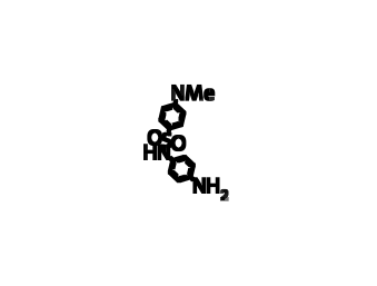 CNc1ccc(S(=O)(=O)Nc2ccc(N)cc2)cc1